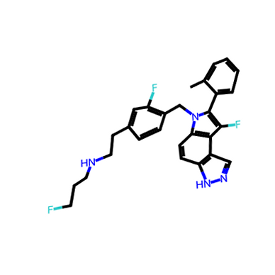 Cc1ccccc1-c1c(F)c2c3cn[nH]c3ccc2n1Cc1ccc(CCNCCCF)cc1F